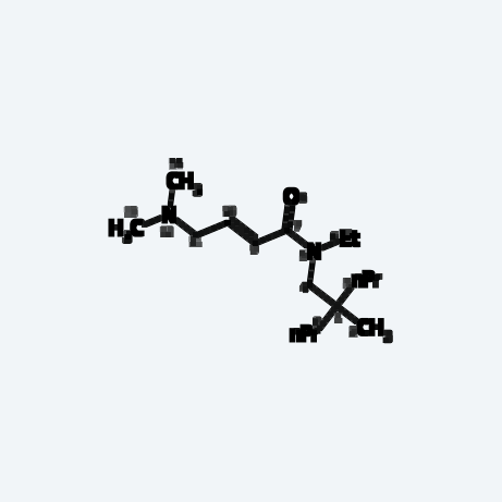 CCCC(C)(CCC)CN(CC)C(=O)/C=C/CN(C)C